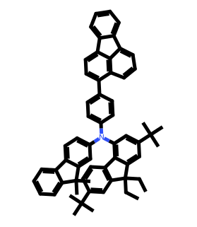 CCC1(CC)c2cc(C(C)(C)C)ccc2-c2c(N(c3ccc(-c4ccc5c6c(cccc46)-c4ccccc4-5)cc3)c3ccc4c(c3)C(C)(C)c3ccccc3-4)cc(C(C)(C)C)cc21